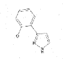 [O]c1ccccc1-c1cc[nH]n1